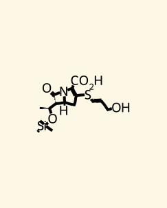 C[C@H](O[Si](C)(C)C)[C@@H]1C(=O)N2C(C(=O)O)=C(S/C=C/CO)C[C@H]12